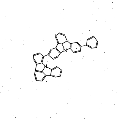 C1=CC2c3cc(-c4ccccc4)ccc3N3c4ccc(-c5cccc6c7cccc8c9ccccc9n(c56)c87)cc4C(=C1)C23